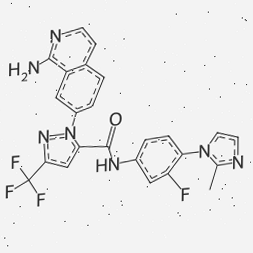 Cc1nccn1-c1ccc(NC(=O)c2cc(C(F)(F)F)nn2-c2ccc3ccnc(N)c3c2)cc1F